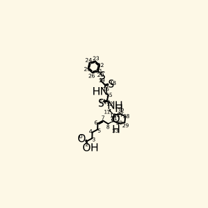 O=C(O)CCC/C=C\C[C@H]1[C@@H](CNC(=S)CNC(=S)CSc2ccccc2)[C@H]2CC[C@@H]1O2